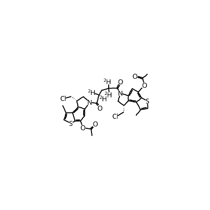 [2H]C([2H])(CC([2H])([2H])C(=O)N1C[C@@H](CCl)c2c1cc(OC(C)=O)c1scc(C)c21)C(=O)N1C[C@@H](CCl)c2c1cc(OC(C)=O)c1scc(C)c21